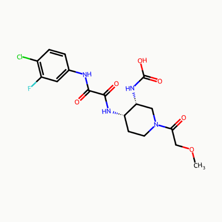 COCC(=O)N1CC[C@H](NC(=O)C(=O)Nc2ccc(Cl)c(F)c2)[C@H](NC(=O)O)C1